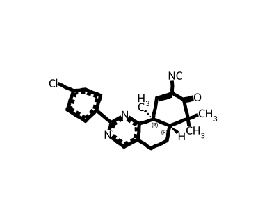 [C-]#[N+]C1=C[C@]2(C)c3nc(-c4ccc(Cl)cc4)ncc3CC[C@H]2C(C)(C)C1=O